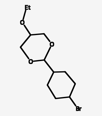 CCOC1COC(C2CCC(Br)CC2)OC1